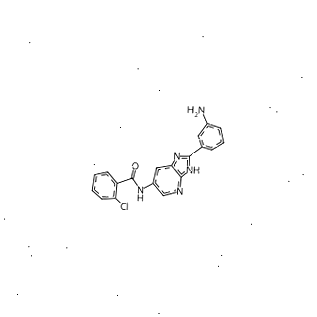 Nc1cccc(-c2nc3cc(NC(=O)c4ccccc4Cl)cnc3[nH]2)c1